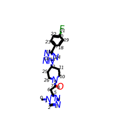 Cn1cnnc1CC(=O)N1CCC(n2nnc(-c3ccc(F)cc3)n2)CC1